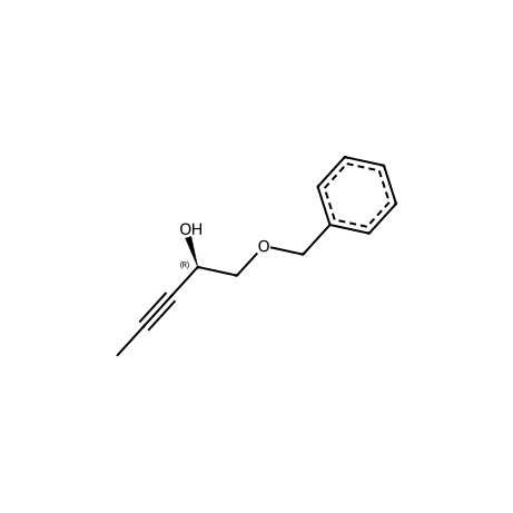 CC#C[C@@H](O)COCc1ccccc1